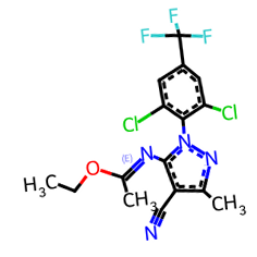 CCO/C(C)=N/c1c(C#N)c(C)nn1-c1c(Cl)cc(C(F)(F)F)cc1Cl